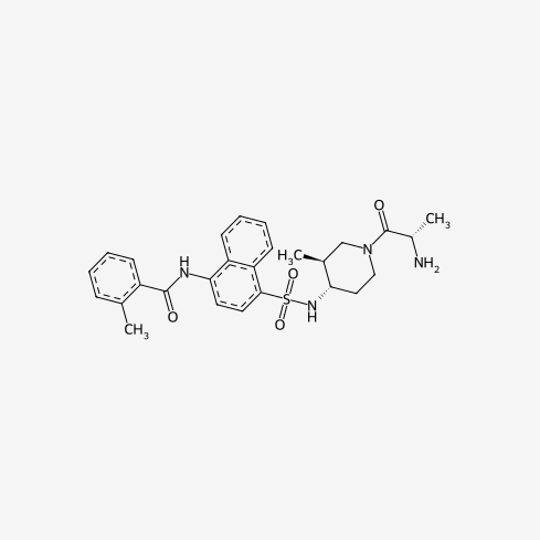 Cc1ccccc1C(=O)Nc1ccc(S(=O)(=O)N[C@H]2CCN(C(=O)[C@H](C)N)C[C@@H]2C)c2ccccc12